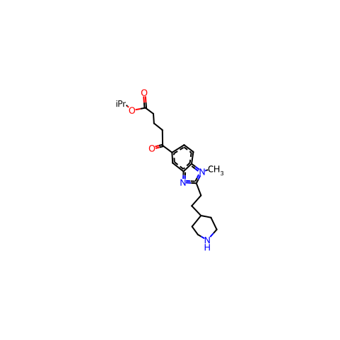 CC(C)OC(=O)CCCC(=O)c1ccc2c(c1)nc(CCC1CCNCC1)n2C